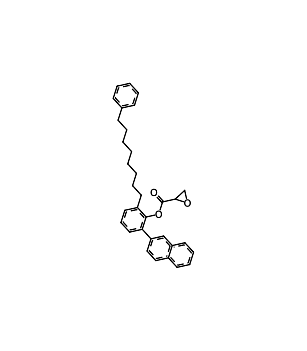 O=C(Oc1c(CCCCCCCCc2ccccc2)cccc1-c1ccc2ccccc2c1)C1CO1